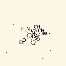 CCOCc1cc(CN)ccc1-c1ccccc1S(=O)(=O)N(COC)c1noc(C)c1C